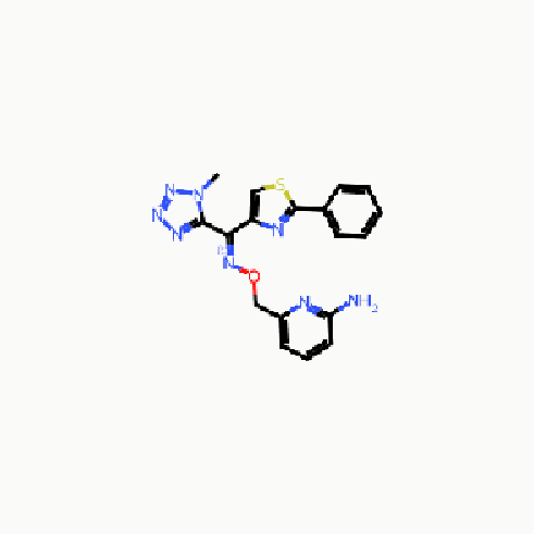 Cn1nnnc1/C(=N/OCc1cccc(N)n1)c1csc(-c2ccccc2)n1